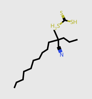 CCCCCCCCCCC(C#N)(CCC)C[SH2]C(=S)S